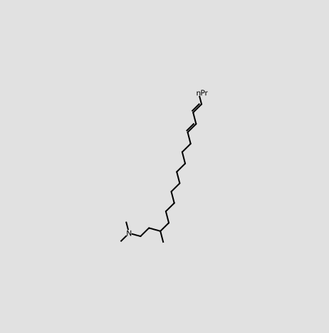 CCC/C=C/C=C/CCCCCCCCCC(C)CCN(C)C